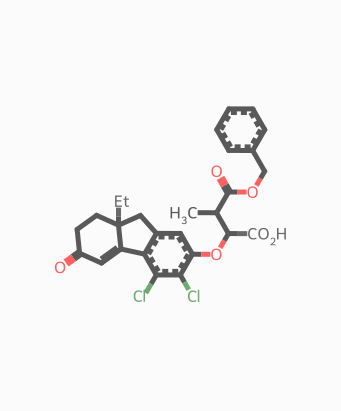 CCC12CCC(=O)C=C1c1c(cc(OC(C(=O)O)C(C)C(=O)OCc3ccccc3)c(Cl)c1Cl)C2